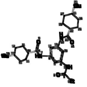 CCC(=O)Nc1cc(NC(=O)[C@H]2CC[C@@H](C(C)(C)C)CC2)cc(NC(=O)[C@H]2CC[C@@H](C(C)(C)C)CC2)c1